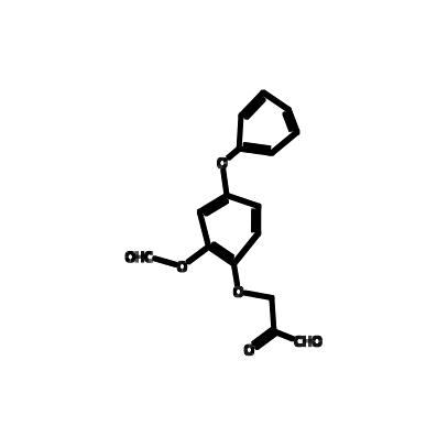 O=COc1cc(Oc2ccccc2)ccc1OCC(=O)C=O